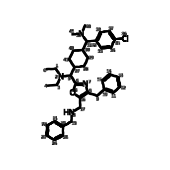 CCN(CC)C(c1nc(Cc2ccccc2)c(CNCc2ccccc2)o1)C1CCC(C(c2ccc(Cl)cc2)N(C)C)CC1